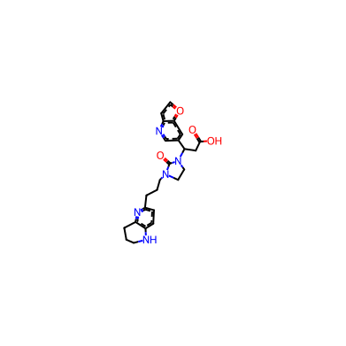 O=C(O)CC(c1cnc2ccoc2c1)N1CCN(CCCc2ccc3c(n2)CCCN3)C1=O